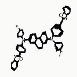 Fc1ccc(N(c2ccc(-c3nc4ccccc4o3)cc2)c2ccc3c(ccc4cc(N(c5ccc(F)cc5)c5ccc(-c6nc7ccccc7o6)cc5)ccc43)c2)cc1